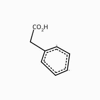 O=C(O)Cc1[c]c[c]cc1